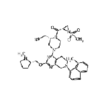 Cc1cccc2cccc(N3CCc4c(nc(OC[C@@H]5CCCN5C)nc4N4CCN(C(=O)[C@@H]5CN5S(C)(=O)=O)[C@@H](CC#N)C4)C3)c12